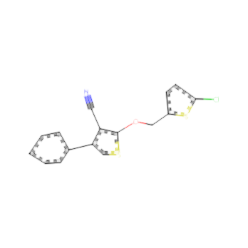 N#Cc1c(-c2ccccc2)csc1OCc1ccc(Cl)s1